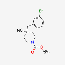 CC(C)(C)OC(=O)N1CCC(C#N)(Cc2cccc(Br)c2)CC1